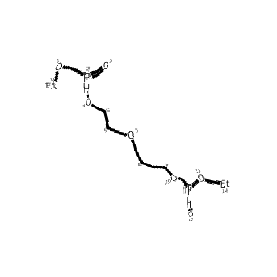 CCO[PH](=O)OCCOCCO[PH](=O)OCC